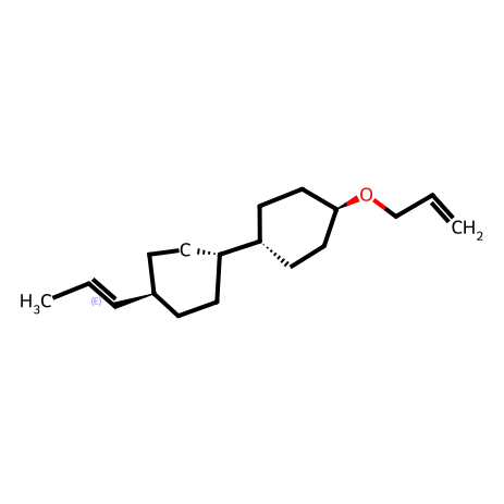 C=CCO[C@H]1CC[C@H]([C@H]2CC[C@H](/C=C/C)CC2)CC1